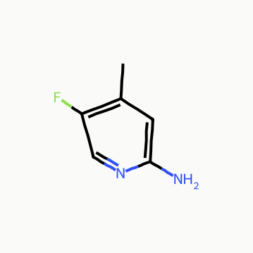 Cc1cc(N)ncc1F